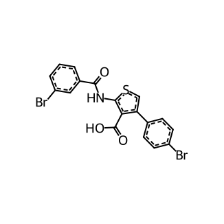 O=C(Nc1scc(-c2ccc(Br)cc2)c1C(=O)O)c1cccc(Br)c1